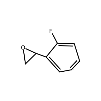 Fc1cc[c]cc1C1CO1